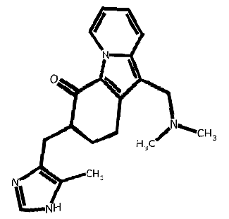 Cc1[nH]cnc1CC1CCc2c(CN(C)C)c3ccccn3c2C1=O